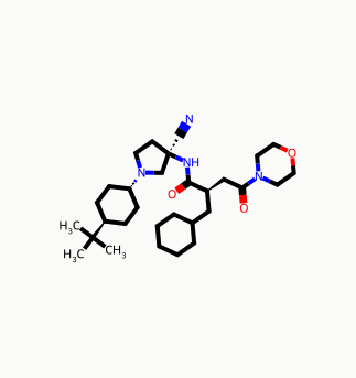 CC(C)(C)[C@H]1CC[C@H](N2CC[C@@](C#N)(NC(=O)[C@@H](CC(=O)N3CCOCC3)CC3CCCCC3)C2)CC1